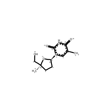 Cc1cn([C@H]2CC[C@@](C)(CO)O2)c(=O)[nH]c1=O